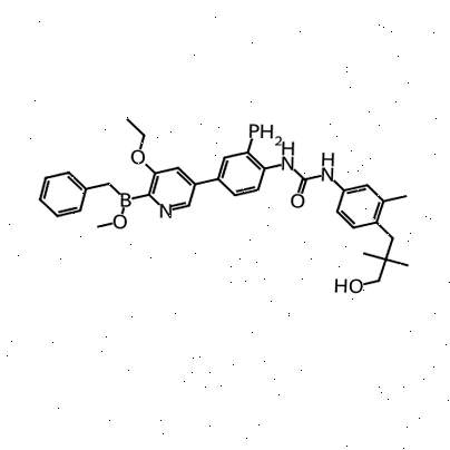 CCOc1cc(-c2ccc(NC(=O)Nc3ccc(CC(C)(C)CO)c(C)c3)c(P)c2)cnc1B(Cc1ccccc1)OC